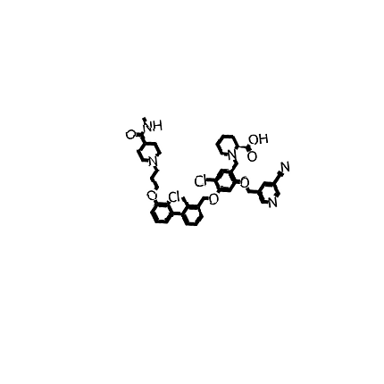 CNC(=O)C1CCN(CCCOc2cccc(-c3cccc(COc4cc(OCc5cncc(C#N)c5)c(CN5CCCC[C@H]5C(=O)O)cc4Cl)c3C)c2Cl)CC1